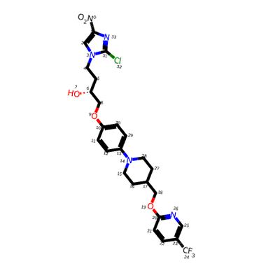 O=[N+]([O-])c1cn(CC[C@@H](O)COc2ccc(N3CCC(COc4ccc(C(F)(F)F)cn4)CC3)cc2)c(Cl)n1